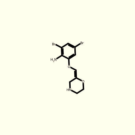 Nc1c(Br)cc(Br)cc1OC=C1CNCCO1